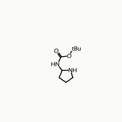 CC(C)(C)OC(=O)NC1CCCN1